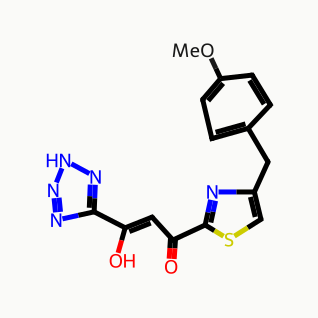 COc1ccc(Cc2csc(C(=O)C=C(O)c3nn[nH]n3)n2)cc1